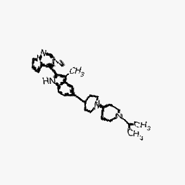 Cc1c(-c2ncnn3cccc23)[nH]c2ccc(C3CCN(C4CCN(C(C)C)CC4)CC3)cc12